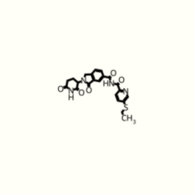 CCSc1ccc(C(=O)NC(=O)c2ccc3c(c2)C(=O)N(C2CCC(=O)NC2=O)C3)nc1